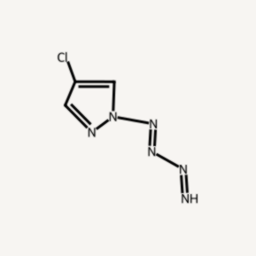 N=N/N=N/n1cc(Cl)cn1